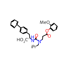 COc1ccccc1OC(=O)CCN(CC(C)C)C(=O)N[C@@H](Cc1ccc(-c2ccccc2)cc1)C(=O)O